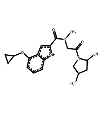 CC1CC(C#N)N(C(=O)CN(C)C(=O)c2cc3c(OC4CC4)cccc3[nH]2)C1